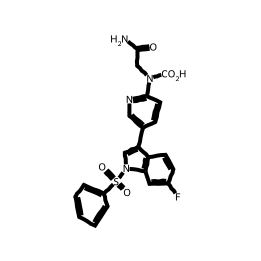 NC(=O)CN(C(=O)O)c1ccc(-c2cn(S(=O)(=O)c3ccccc3)c3cc(F)ccc23)cn1